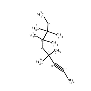 CCC(C)(C)C(C)(C)CC(C)(C)C#CN